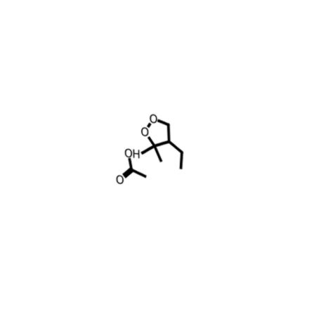 CC(=O)O.CCC1COOC1(C)C